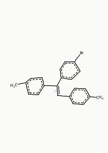 Cc1ccc(/C=C(/c2ccc(C)cc2)c2ccc(Br)cc2)cc1